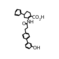 O=C(CCc1ccc(-c2cccc(O)c2)cc1)NC1=C(C(=O)O)CCC(c2ccccc2)C1